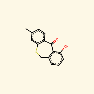 Cc1ccc2c(c1)SCc1cccc(O)c1C2=O